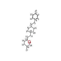 Cc1ccc(CCC2CCC(CCC3CCC(C)CO3)CC2)cc1